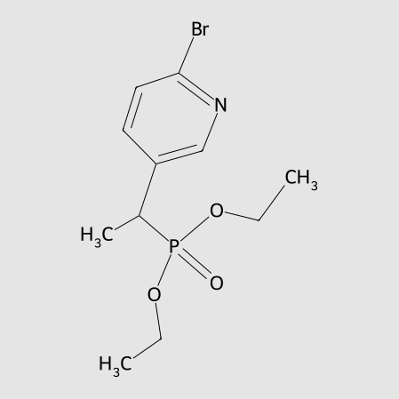 CCOP(=O)(OCC)C(C)c1ccc(Br)nc1